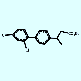 CCOC(=O)CC(C)c1ccc(-c2ccc(Cl)cc2Cl)cc1